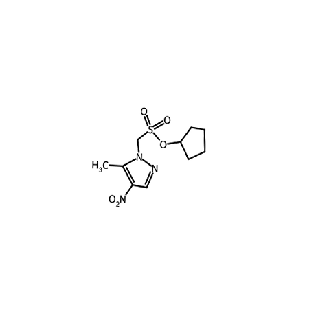 Cc1c([N+](=O)[O-])cnn1CS(=O)(=O)OC1CCCC1